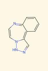 C1=CN2NN=CC2=c2ccccc2=N1